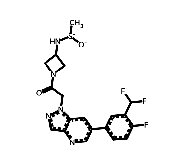 C[S+]([O-])NC1CN(C(=O)Cn2ncc3ncc(-c4ccc(F)c(C(F)F)c4)cc32)C1